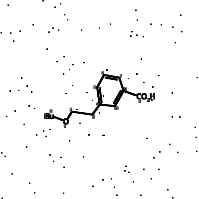 CCC(C)OCCc1cccc(C(=O)O)c1